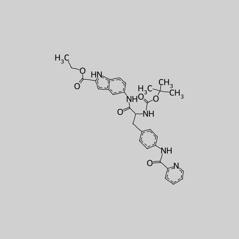 CCOC(=O)c1cc2cc(NC(=O)C(Cc3ccc(NC(=O)c4ccccn4)cc3)NC(=O)OC(C)(C)C)ccc2[nH]1